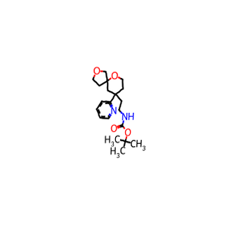 CC(C)(C)OC(=O)NCCC1(c2ccccn2)CCOC2(CCOC2)C1